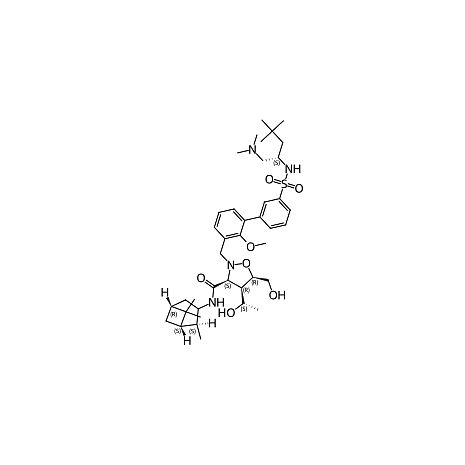 COc1c(CN2O[C@@H](CO)[C@@H]([C@H](C)O)[C@H]2C(=O)NC2C[C@H]3C[C@@H]([C@@H]2C)C3(C)C)cccc1-c1cccc(S(=O)(=O)N[C@H](CN(C)C)CC(C)(C)C)c1